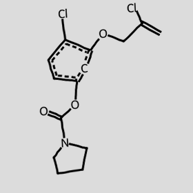 C=C(Cl)COc1cc(OC(=O)N2CCCC2)ccc1Cl